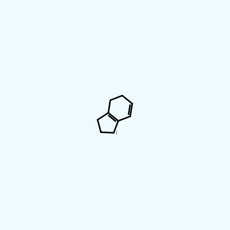 [C]1CCC2=C1C=CCC2